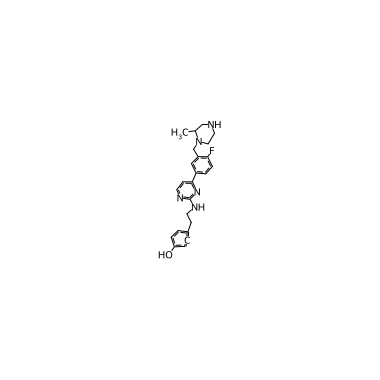 CC1CNCCN1Cc1cc(-c2ccnc(NCCc3ccc(O)cc3)n2)ccc1F